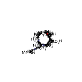 CNC(=N)NCCC/C=C/CCCC(C)CC(C)C1OC(=O)/C=C/C(C)C(O)CC(O)C(C)C(O)CCC(C)C(O)CC2(O)OC(CC(OC(=O)CC(=O)O)CC(O)CC(O)C(C)C(O)/C=C/C1C)CC(O)C2O